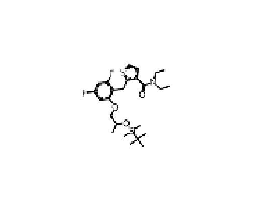 CCN(CC)C(=O)c1ccsc1Cc1c(F)cc(F)cc1OCC(C)O[Si](C)(C)C(C)(C)C